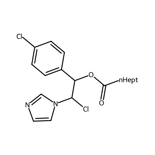 CCCCCCCC(=O)OC(c1ccc(Cl)cc1)C(Cl)n1ccnc1